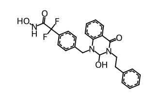 O=C1c2ccccc2N(Cc2ccc(C(F)(F)C(=O)NO)cc2)C(O)N1CCc1ccccc1